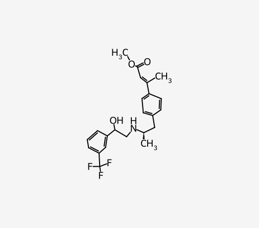 COC(=O)C=C(C)c1ccc(C[C@@H](C)NCC(O)c2cccc(C(F)(F)F)c2)cc1